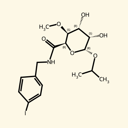 CO[C@H]1[C@H](O)[C@H](O)[C@H](OC(C)C)O[C@H]1C(=O)NCc1ccc(I)cc1